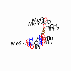 COC(=O)[C@H](CCSC)C(=O)c1ccccc1C(CCSSCCC[C@@H](Cc1cc(C(=O)NOC(=O)CCCSC)c(C(C)C)cc1NC(=O)OC(C)(C)C)NC(=O)OC(C)(C)C)[C@@H](C)C(C)C